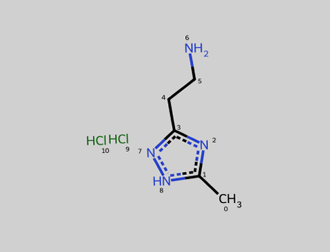 Cc1nc(CCN)n[nH]1.Cl.Cl